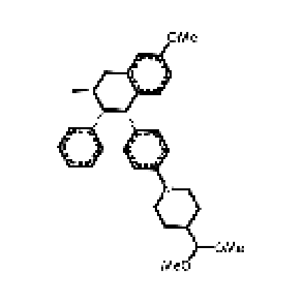 COc1ccc2c(c1)C[C@H](C)[C@@H](c1ccccc1)[C@H]2c1ccc(N2CCC(C(OC)OC)CC2)cc1